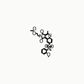 COc1ccccc1N(C)S(=O)(=O)c1ccc2nc(C)c3c(c2c1)C(=O)N(CCOC(C)=O)C3=O